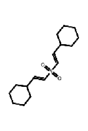 O=S(=O)(C=CC1CCCCC1)C=CC1CCCCC1